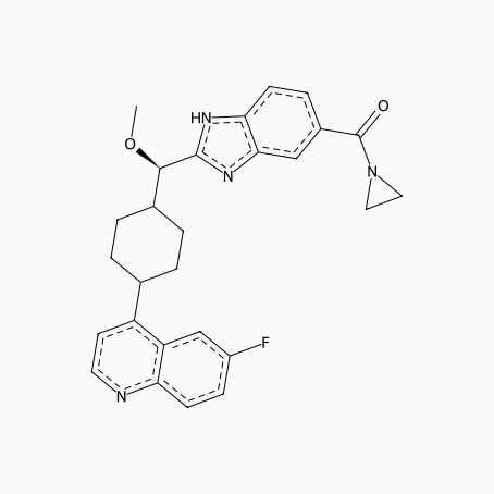 CO[C@@H](c1nc2cc(C(=O)N3CC3)ccc2[nH]1)C1CCC(c2ccnc3ccc(F)cc23)CC1